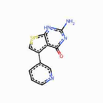 Nc1nc(=O)c2c(-c3cccnc3)csc2[nH]1